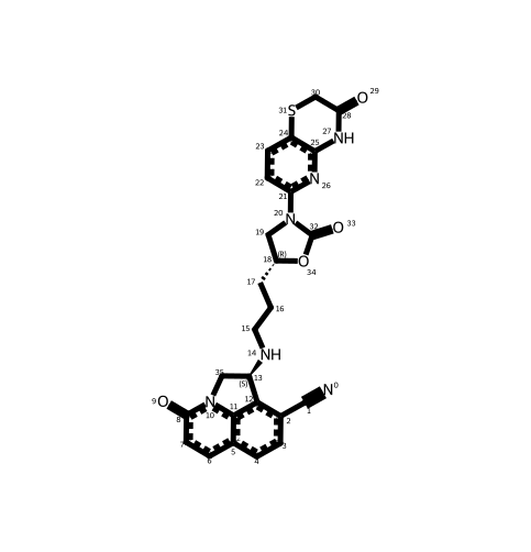 N#Cc1ccc2ccc(=O)n3c2c1[C@H](NCCC[C@@H]1CN(c2ccc4c(n2)NC(=O)CS4)C(=O)O1)C3